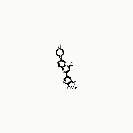 COc1ncc(-c2cc(=O)n3cc(N4CCNCC4)ccc3n2)cc1F